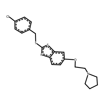 Clc1ccc(CSc2nc3ccc(OCCN4CCCC4)cc3s2)cc1